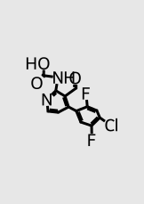 O=Cc1c(-c2cc(F)c(Cl)cc2F)ccnc1NC(=O)O